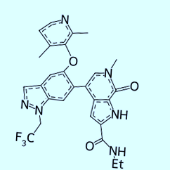 CCNC(=O)c1cc2c(-c3cc4c(cnn4CC(F)(F)F)cc3Oc3c(C)ccnc3C)cn(C)c(=O)c2[nH]1